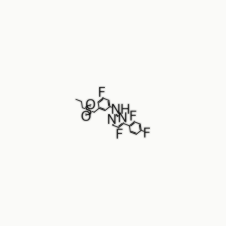 CCCS(=O)(=O)Cc1cc(F)cc(Nc2ncc(F)c(-c3ccc(F)cc3F)n2)c1